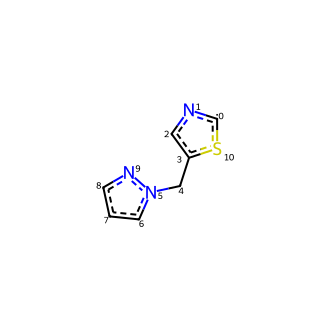 [c]1ncc(Cn2cccn2)s1